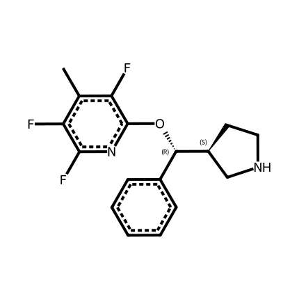 Cc1c(F)c(F)nc(O[C@@H](c2ccccc2)[C@H]2CCNC2)c1F